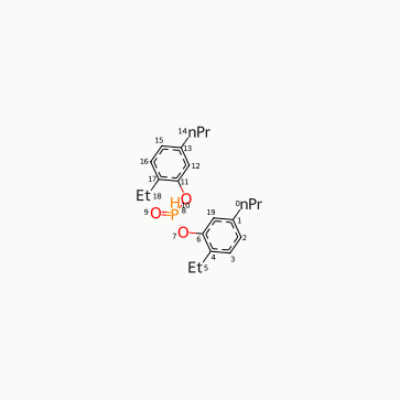 CCCc1ccc(CC)c(O[PH](=O)Oc2cc(CCC)ccc2CC)c1